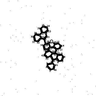 c1ccc(-c2c3ccccc3c(-c3cccc4oc5c(-c6cc7ccccc7c7ccccc67)cccc5c34)c3ccccc23)cc1